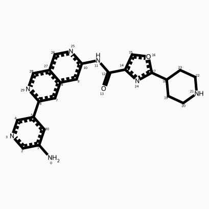 Nc1cncc(-c2cc3cc(NC(=O)c4coc(C5CCNCC5)n4)ncc3cn2)c1